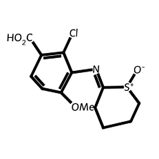 COc1ccc(C(=O)O)c(Cl)c1N=C1CCCC[S+]1[O-]